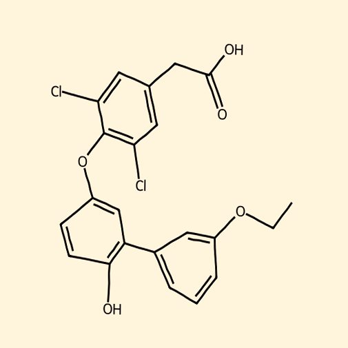 CCOc1cccc(-c2cc(Oc3c(Cl)cc(CC(=O)O)cc3Cl)ccc2O)c1